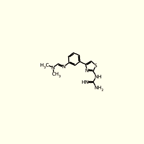 CN(C)/C=N/c1cccc(-c2csc(NC(=N)N)n2)c1